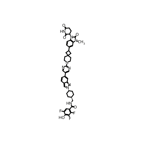 Cn1c(=O)n(C2CCC(=O)NC2=O)c2ccc(C3CC4(CCN(c5ncc(-c6ccc7cn([C@H]8CC[C@H](CNC(=O)c9cc(F)c(O)c(F)c9F)CC8)nc7c6)cn5)CC4)C3)cc21